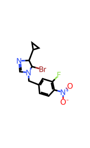 O=[N+]([O-])c1ccc(CN2C=NC(C3CC3)C2Br)cc1F